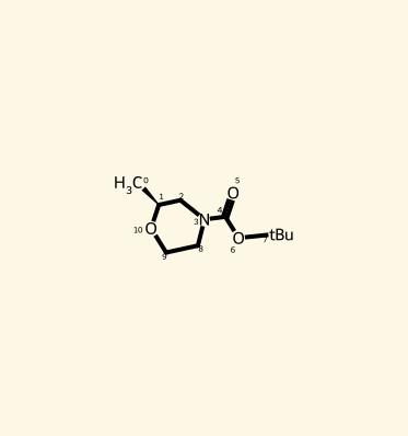 C[C@H]1CN(C(=O)OC(C)(C)C)CCO1